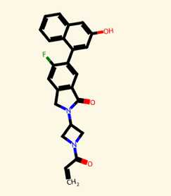 C=CC(=O)N1CC(N2Cc3cc(F)c(-c4cc(O)cc5ccccc45)cc3C2=O)C1